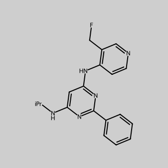 CC(C)Nc1cc(Nc2ccncc2CF)nc(-c2ccccc2)n1